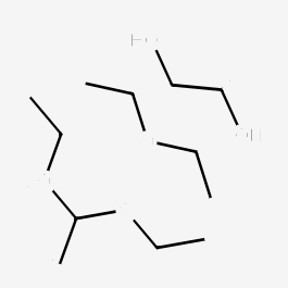 CCOC(C)OCC.CCOCC.OCCO